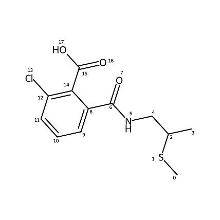 CSC(C)CNC(=O)c1cccc(Cl)c1C(=O)O